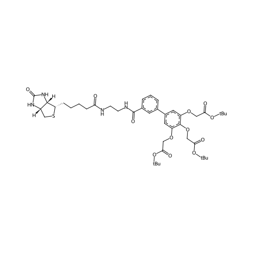 CC(C)(C)OC(=O)COc1cc(-c2cccc(C(=O)NCCNC(=O)CCCC[C@@H]3SC[C@@H]4NC(=O)N[C@@H]43)c2)cc(OCC(=O)OC(C)(C)C)c1OCC(=O)OC(C)(C)C